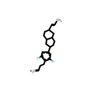 C=CCCc1c(F)cc(C2CCC3CC(C=CC)CCC3C2)cc1F